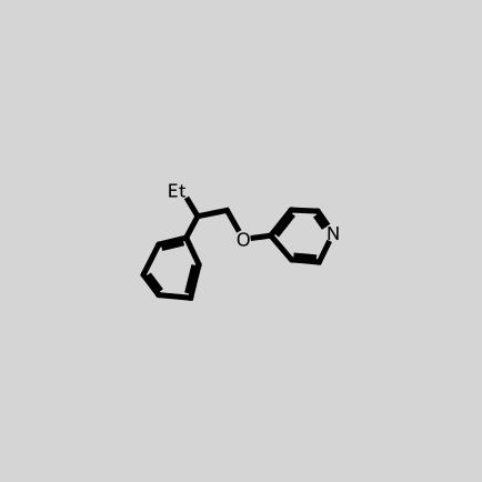 CCC(COc1ccncc1)c1ccccc1